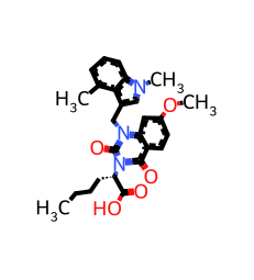 CCCC[C@@H](C(=O)O)n1c(=O)c2ccc(OC)cc2n(Cc2cn(C)c3cccc(C)c23)c1=O